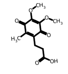 COC1=C(OC)C(=O)C(CCC(=O)O)=C(C)C1=O